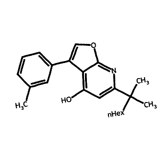 CCCCCCC(C)(C)c1cc(O)c2c(-c3cccc(C)c3)coc2n1